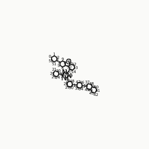 c1ccc(-c2ccc3c(c2)oc2cccc(-c4nc(-c5ccccc5)nc(-c5cccc(-c6ccc(-c7ccc8ccccc8c7)cc6)c5)n4)c23)cc1